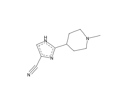 CN1CCC(c2nc(C#N)c[nH]2)CC1